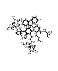 CCCCc1cc(C2(c3cc(CCC[Si](OCC)(OCC)OCC)c(OCC4CO4)c(CCC[Si](OCC)(OCC)OCC)c3)c3ccccc3-c3ccccc32)ccc1OCC1CO1